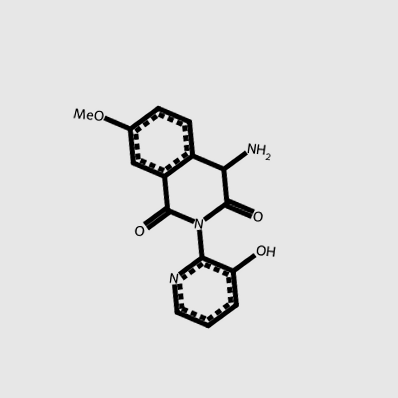 COc1ccc2c(c1)C(=O)N(c1ncccc1O)C(=O)C2N